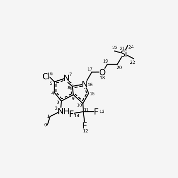 CCNc1cc(Cl)nc2c1c(C(F)(F)F)cn2COCC[Si](C)(C)C